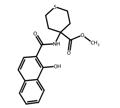 COC(=O)C1(NC(=O)c2ccc3ccccc3c2O)CCSCC1